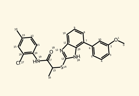 COc1cccc(-c2cccc3nc(SC(C)C(=O)Nc4ccc(C)cc4Cl)[nH]c23)c1